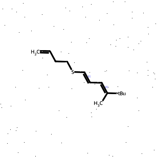 C=CCCS/C=C/C=C(\C)C(C)(C)C